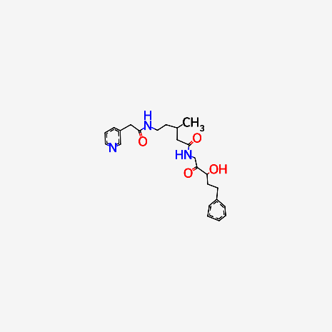 CC(CCNC(=O)Cc1cccnc1)CC(=O)NCC(=O)C(O)CCc1ccccc1